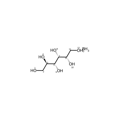 B.OC[C@@H](O)[C@@H](O)[C@H](O)[C@@H](O)CO